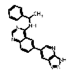 CC(Nc1ncnc2ccc(-c3cnc4[nH]nnc4c3)cc12)c1ccccc1